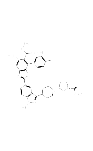 CCn1nc(C2CCN([C@@H]3CCN(C(=O)OC)C3)CC2)c2cc(-c3nc4cc(C)c(C(OC(C)(C)C)C(=O)O)c(-c5ccc(Cl)cc5)c4s3)ccc21